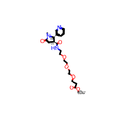 CN1C(=O)C[C@H](C(=O)NCCOCCOCCOCCC(=O)OC(C)(C)C)[C@H]1c1cccnc1